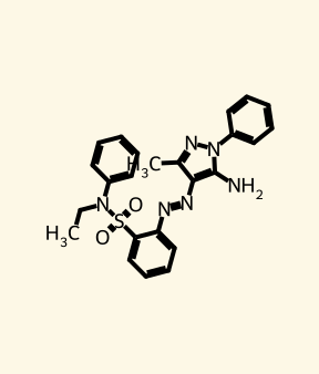 CCN(c1ccccc1)S(=O)(=O)c1ccccc1/N=N/c1c(C)nn(-c2ccccc2)c1N